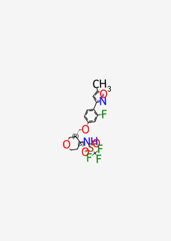 Cc1cc(-c2ccc(OC[C@H]3COCC[C@@H]3NS(=O)(=O)C(F)(F)F)cc2F)no1